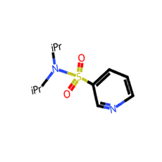 CC(C)N(C(C)C)S(=O)(=O)c1cccnc1